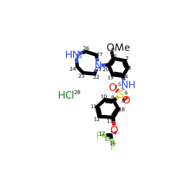 COc1ccc(NS(=O)(=O)c2cccc(OC(F)F)c2)cc1N1CCCNCC1.Cl